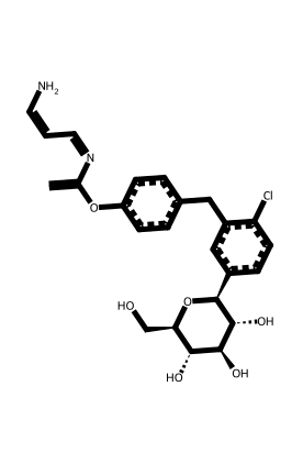 C=C(/N=C\C=C/N)Oc1ccc(Cc2cc([C@@H]3O[C@H](CO)[C@@H](O)[C@H](O)[C@H]3O)ccc2Cl)cc1